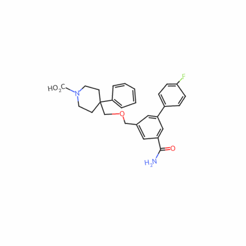 NC(=O)c1cc(COCC2(c3ccccc3)CCN(C(=O)O)CC2)cc(-c2ccc(F)cc2)c1